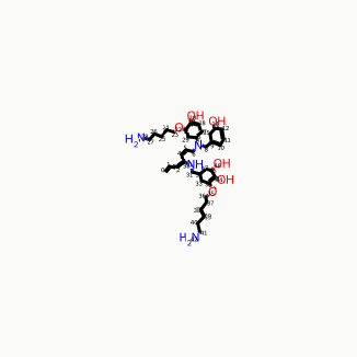 C=C/C=C(\C=C/CN(CC1=CC=CC(O)C1)[C@@H]1CC=C(O)[C@H](OCCCCCN)C1)NCC1CC(OCCCCCCN)=C(O)C(O)C1